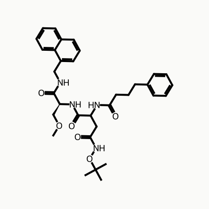 COC[C@H](NC(=O)C(CC(=O)NOC(C)(C)C)NC(=O)CCCc1ccccc1)C(=O)NCc1cccc2ccccc12